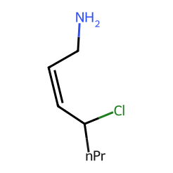 CCCC(Cl)/C=C\CN